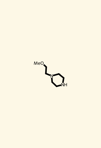 COCCN1[CH]CNCC1